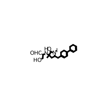 CC1(N[C@H](C=O)CO)CC(CC2=CC=C(C3=CC=CCC3)CC2)N(I)C1=O